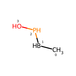 CBPO